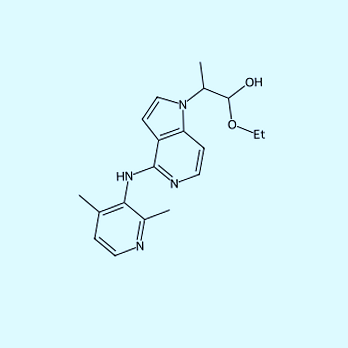 CCOC(O)C(C)n1ccc2c(Nc3c(C)ccnc3C)nccc21